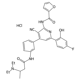 CCN(CC)C(C)CC(=O)Nc1cccc(-c2cc(-c3ccc(F)cc3O)nc(NC(=O)c3ccco3)c2C#N)c1.Cl